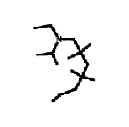 CCCC(C)(C)CC(C)(C)CN(CC)C(C)C